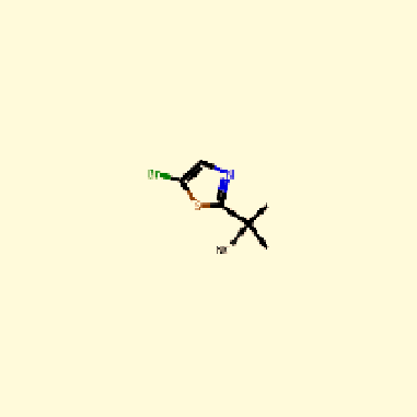 CC(C)(C#N)c1ncc(Br)s1